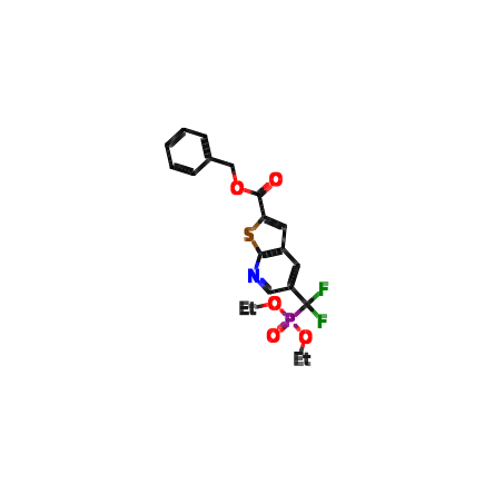 CCOP(=O)(OCC)C(F)(F)c1cnc2sc(C(=O)OCc3ccccc3)cc2c1